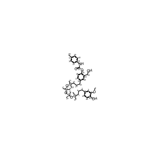 COc1cc(CCC[Si](C)(C)O[Si](C)(C)O[Si](C)(C)O[Si](C)(C)CCCc2ccc(OC(=O)Nc3ccc(C)cc3)c(CO)c2)ccc1O